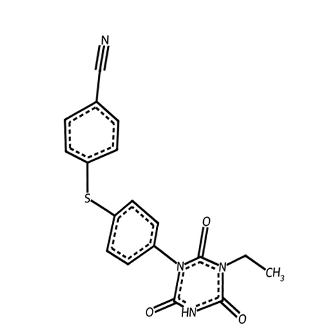 CCn1c(=O)[nH]c(=O)n(-c2ccc(Sc3ccc(C#N)cc3)cc2)c1=O